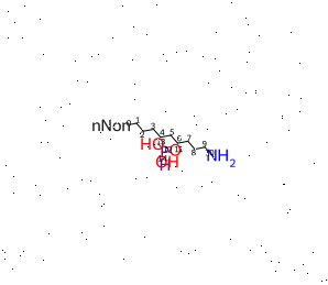 CCCCCCCCCCCCCCCCCCN.O=[PH](O)O